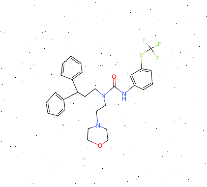 O=C(Nc1cccc(SC(F)(F)F)c1)N(CCC(c1ccccc1)c1ccccc1)CCN1CCOCC1